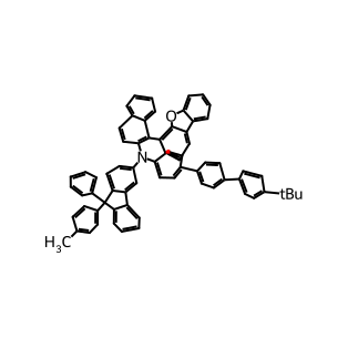 Cc1ccc(C2(c3ccccc3)c3ccccc3-c3cc(N(c4ccc(-c5ccc(-c6ccc(C(C)(C)C)cc6)cc5)cc4)c4ccc5ccccc5c4-c4cccc5c4oc4ccccc45)ccc32)cc1